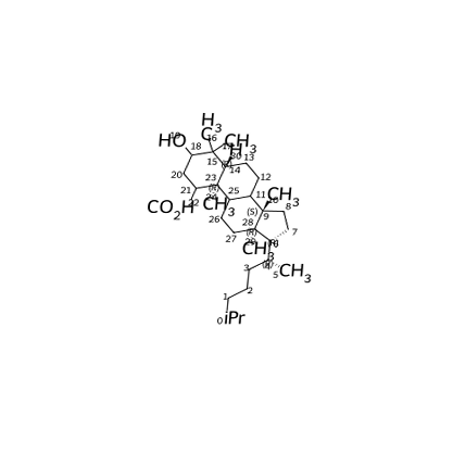 CC(C)CCC[C@@H](C)[C@H]1CC[C@@]2(C)C3CC[C@H]4C(C)(C)C(O)CC(C(=O)O)[C@]4(C)C3CC[C@]12C